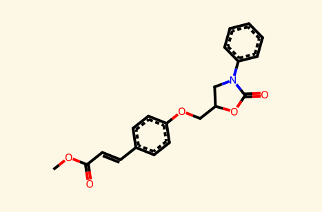 COC(=O)C=Cc1ccc(OCC2CN(c3ccccc3)C(=O)O2)cc1